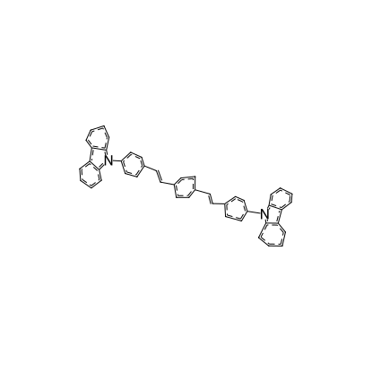 C(=C\c1ccc(-n2c3ccccc3c3ccccc32)cc1)/c1ccc(/C=C/c2ccc(-n3c4ccccc4c4ccccc43)cc2)cc1